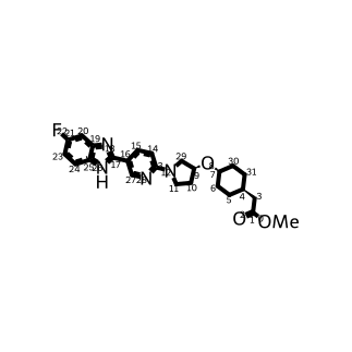 COC(=O)C[C@H]1CC[C@H](O[C@@H]2CCN(c3ccc(-c4nc5cc(F)ccc5[nH]4)cn3)C2)CC1